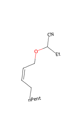 CCCCCC/C=C\COC(C#N)CC